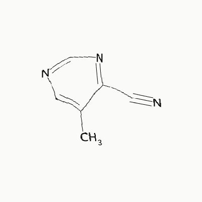 Cc1cncnc1C#N